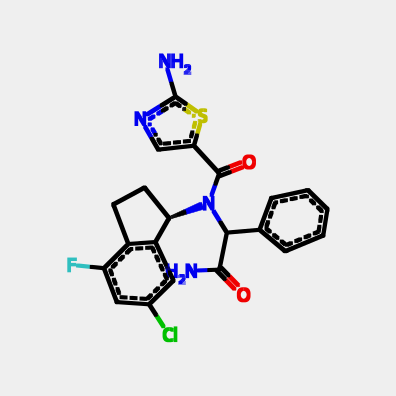 NC(=O)C(c1ccccc1)N(C(=O)c1cnc(N)s1)[C@@H]1CCc2c(F)cc(Cl)cc21